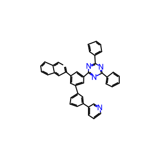 C=C(/C=c1/cccc/c1=C/C)c1cc(-c2cccc(-c3cccnc3)c2)cc(-c2nc(-c3ccccc3)nc(-c3ccccc3)n2)c1